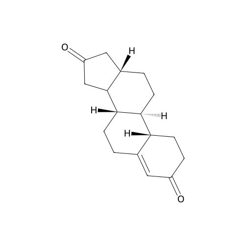 O=C1C=C2CC[C@@H]3C4CC(=O)C[C@@H]4CC[C@H]3[C@@H]2CC1